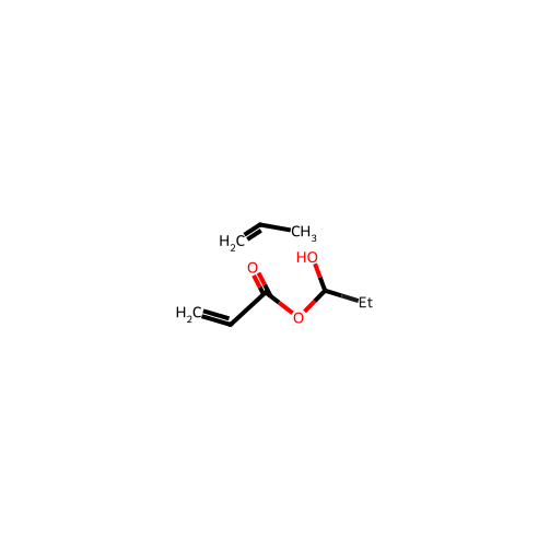 C=CC.C=CC(=O)OC(O)CC